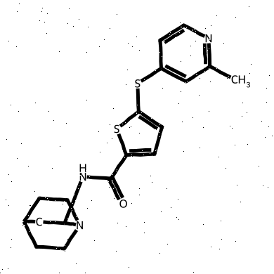 Cc1cc(Sc2ccc(C(=O)NC3CC4CCN3CC4)s2)ccn1